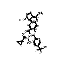 CN(C(=O)C1CC1)N(Cc1ccc(C(F)(F)F)cn1)C(=O)c1cc2c(cc1F)nc(N)c1cnn(C)c12